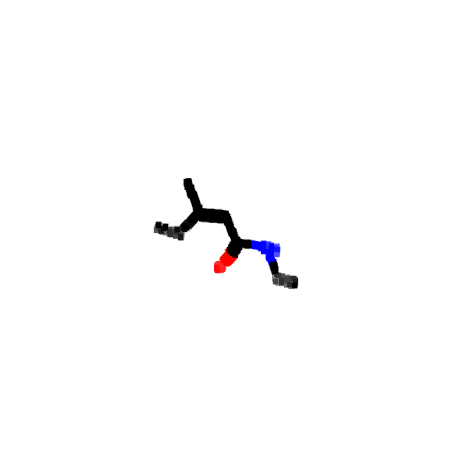 CN/C(C)=C\C(=O)NC=O